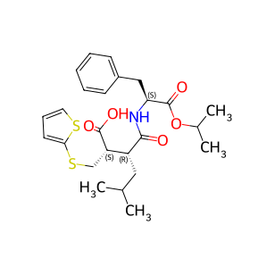 CC(C)C[C@@H](C(=O)N[C@@H](Cc1ccccc1)C(=O)OC(C)C)[C@H](CSc1cccs1)C(=O)O